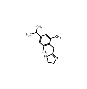 Cc1cc(C(C)C)cc(C)c1CC1=NCCN1